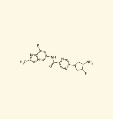 Cc1cn2cc(NC(=O)c3cnc(N4CC(N)C(F)C4)cn3)cc(F)c2n1